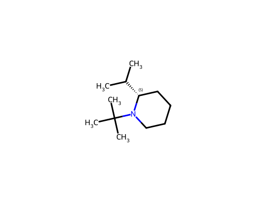 CC(C)[C@@H]1CCCCN1C(C)(C)C